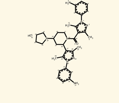 Cc1nn(-c2cccc(N)c2)c(C)c1C(=O)N1CCC(N2CCCC2)CC1c1c(C)nn(-c2cccc(N)c2)c1C.Cl